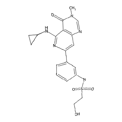 Cn1cnc2cc(-c3cccc([N]S(=O)(=O)CCO)c3)nc(NC3CC3)c2c1=O